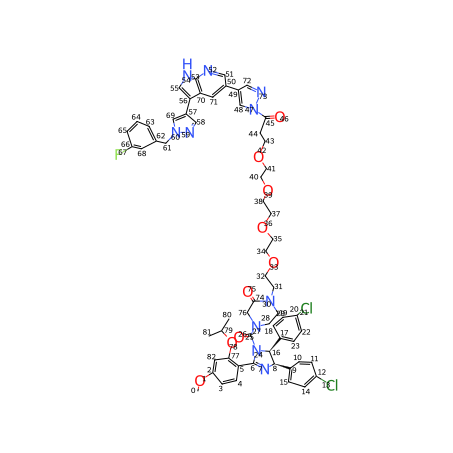 COc1ccc(C2=N[C@H](c3ccc(Cl)cc3)[C@H](c3ccc(Cl)cc3)N2C(=O)N2CCN(CCOCCOCCOCCOCCC(=O)n3cc(-c4cnc5[nH]cc(-c6cnn(Cc7cccc(F)c7)c6)c5c4)cn3)C(=O)C2)c(OC(C)C)c1